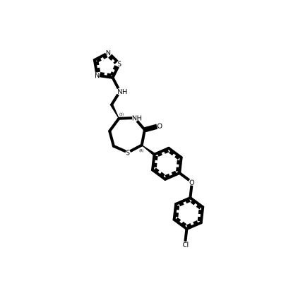 O=C1N[C@H](CNc2ncns2)CCS[C@@H]1c1ccc(Oc2ccc(Cl)cc2)cc1